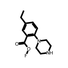 CCc1ccc(N2CCNCC2)c(C(=O)OF)c1